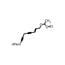 CCCCCC#CCC#CC=CCOC(C)OCC